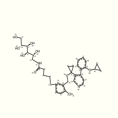 Cc1ccc(SCCCC(=O)NC[C@H](O)[C@@H](O)[C@H](O)[C@H](O)CO)nc1COC1(c2cnccc2-c2ccccc2OC2CC2)CC1